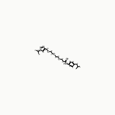 CC(C)Cc1ccc(NC(=O)CCOCCOCCOCc2cn(C(C)C)nn2)cc1